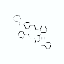 O=C(NCC(=O)[C@H](Cc1ccccc1)NC(=O)c1ccccc1C=Cc1ccc(CN2CCCCC2)cc1)c1ccccc1